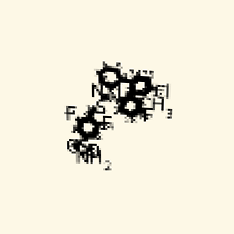 Cc1cc(C2CCCc3nc(SCc4c(F)cc(S(N)(=O)=O)cc4F)n(-c4ccc(F)cc4)c32)ccc1Cl